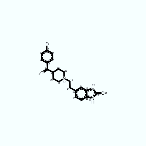 O=C(c1ccc(F)cc1)C1CCN(CCc2ccc3[nH]c(=O)sc3c2)CC1